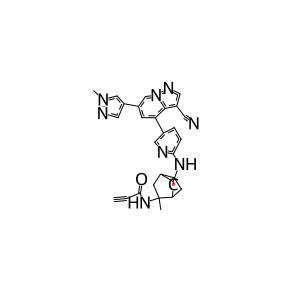 C#CC(=O)NC1(C)CC2CCC1CC2Nc1ccc(-c2cc(-c3cnn(C)c3)cn3ncc(C#N)c23)cn1